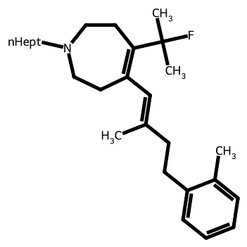 CCCCCCCN1CCC(/C=C(\C)CCc2ccccc2C)=C(C(C)(C)F)CC1